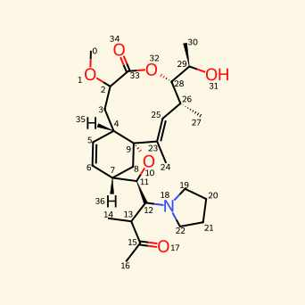 COC1C[C@H]2C=C[C@@H]3C[C@]2(O[C@H]3C(C(C)C(C)=O)N2CCCC2)/C(C)=C/[C@@H](C)[C@@H]([C@@H](C)O)OC1=O